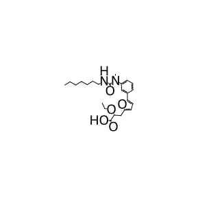 CCCCCCCNC(=O)N(C)c1cccc(-c2ccc(CC(OCC)C(=O)O)o2)c1